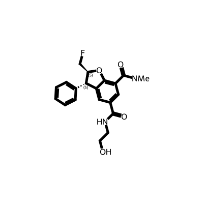 CNC(=O)c1cc(C(=O)NCCO)cc2c1O[C@H](CF)[C@H]2c1ccccc1